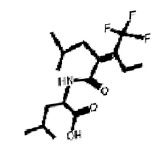 CC/C(=C(/CC(C)C)C(=O)NC(CC(C)C)C(=O)O)C(F)(F)F